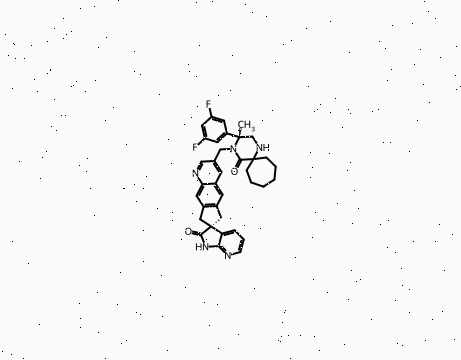 C[C@@]1(c2cc(F)cc(F)c2)CNC2(CCCCCC2)C(=O)N1Cc1cnc2cc3c(cc2c1)C[C@@]1(C3)C(=O)Nc2ncccc21